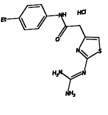 CCc1ccc(NC(=O)Cc2csc(N=C(N)N)n2)cc1.Cl